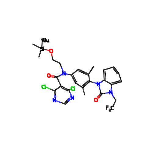 Cc1cc(N(CCO[Si](C)(C)C(C)(C)C)C(=O)c2c(Cl)ncnc2Cl)cc(C)c1-n1c(=O)n(CC(F)(F)F)c2ccccc21